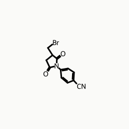 N#Cc1ccc(N2C(=O)CC(CBr)C2=O)cc1